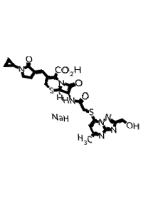 Cc1cc(SCC(=O)N[C@@H]2C(=O)N3C(C(=O)O)=C(/C=C4\CCN(C5CC5)C4=O)CS[C@H]23)n2nc(CO)nc2n1.[NaH]